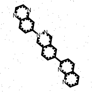 c1cnc2nc(-c3ccc4c[n+](-c5ccc6nccnc6c5)ncc4c3)ccc2c1